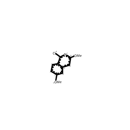 COc1ccc2c(Cl)nc(OC)cc2c1